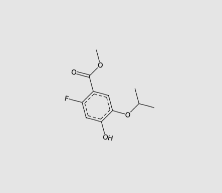 COC(=O)c1cc(OC(C)C)c(O)cc1F